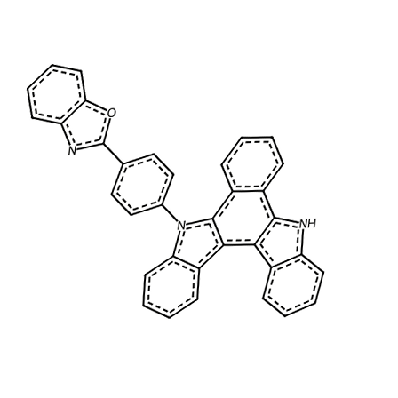 c1ccc2oc(-c3ccc(-n4c5ccccc5c5c6c7ccccc7[nH]c6c6ccccc6c54)cc3)nc2c1